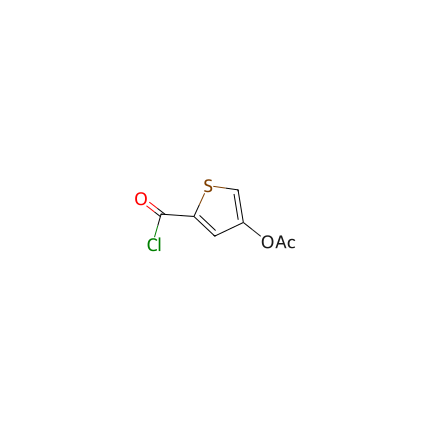 CC(=O)Oc1csc(C(=O)Cl)c1